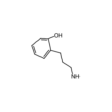 [NH]CCCc1ccccc1O